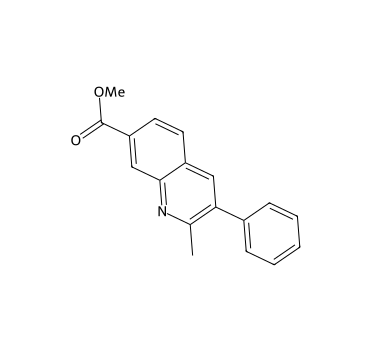 COC(=O)c1ccc2cc(-c3ccccc3)c(C)nc2c1